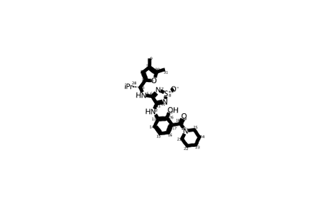 Cc1cc([C@H](Nc2n[s+]([O-])nc2Nc2cccc(C(=O)N3CCCCC3)c2O)C(C)C)oc1C